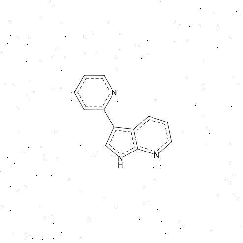 [c]1ccnc(-c2c[nH]c3ncccc23)c1